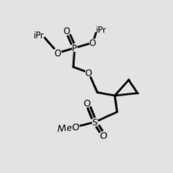 COS(=O)(=O)CC1(COCP(=O)(OC(C)C)OC(C)C)CC1